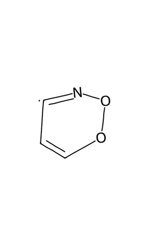 [C]1=NOOC=C1